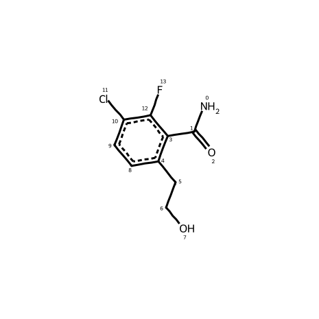 NC(=O)c1c([CH]CO)ccc(Cl)c1F